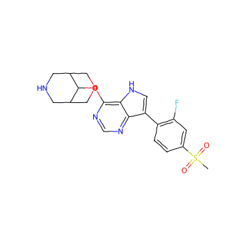 CS(=O)(=O)c1ccc(-c2c[nH]c3c(OC4C5CNCC4COC5)ncnc23)c(F)c1